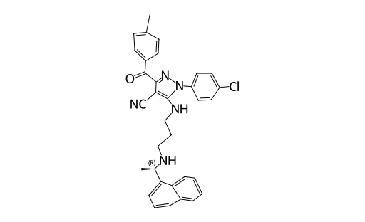 Cc1ccc(C(=O)c2nn(-c3ccc(Cl)cc3)c(NCCCN[C@H](C)c3cccc4ccccc34)c2C#N)cc1